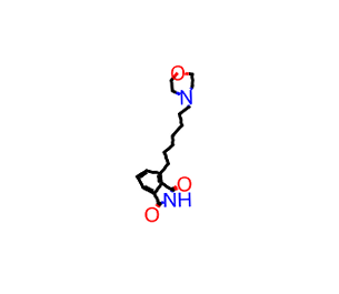 O=C1NC(=O)c2c(CCCCCCCN3CCOCC3)cccc21